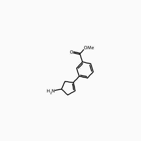 COC(=O)c1cccc(C2=CCC(N)C2)c1